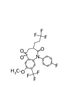 COc1cc2c(cc1C(F)(F)F)N(c1ccc(F)cc1)C(=O)C(CCC(F)(F)F)CS2(=O)=O